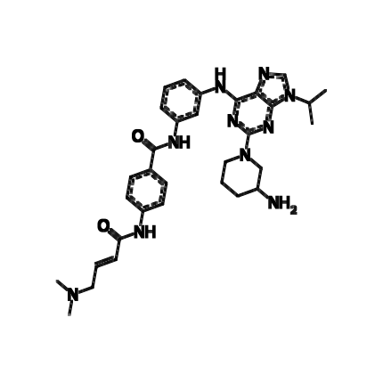 CC(C)n1cnc2c(Nc3cccc(NC(=O)c4ccc(NC(=O)/C=C/CN(C)C)cc4)c3)nc(N3CCCC(N)C3)nc21